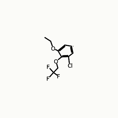 CCOc1c[c]cc(Cl)c1OCC(F)(F)F